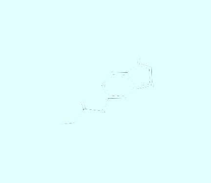 O=C(CCl)Nc1ccc2[nH]cnc2c1